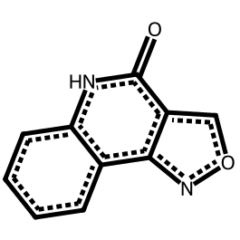 O=c1[nH]c2ccccc2c2nocc12